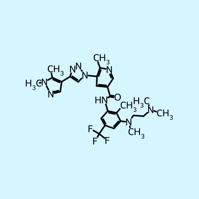 Cc1ncc(C(=O)Nc2cc(C(F)(F)F)cc(N(C)CCN(C)C)c2C)cc1-n1cc(-c2cnn(C)c2C)nn1